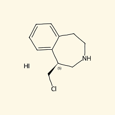 ClC[C@@H]1CNCCc2ccccc21.I